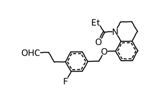 CCC(=O)N1CCCc2cccc(OCc3ccc(CCC=O)c(F)c3)c21